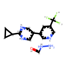 FC(F)(F)c1cncc(-c2cnc(C3CC3)nc2)c1.NNC=O